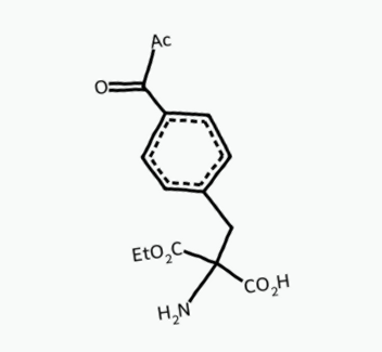 CCOC(=O)C(N)(Cc1ccc(C(=O)C(C)=O)cc1)C(=O)O